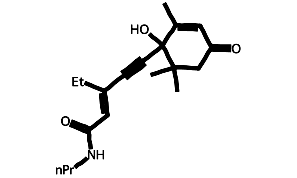 CCCNC(=O)C=C(C#CC1(O)C(C)=CC(=O)CC1(C)C)CC